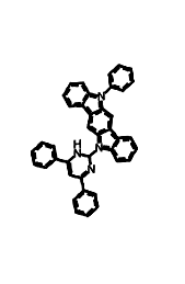 C1=C(c2ccccc2)NC(n2c3ccccc3c3cc4c(cc32)c2ccccc2n4-c2ccccc2)N=C1c1ccccc1